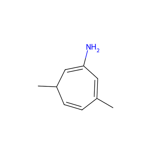 CC1=CC(N)=CC(C)C=C1